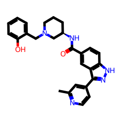 Cc1cc(-c2n[nH]c3ccc(C(=O)N[C@@H]4CCCN(Cc5ccccc5O)C4)cc23)ccn1